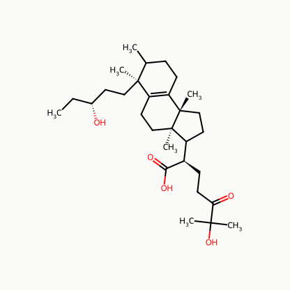 CC[C@@H](O)CC[C@]1(C)C2=C(CCC1C)[C@]1(C)CCC([C@@H](CCC(=O)C(C)(C)O)C(=O)O)[C@@]1(C)CC2